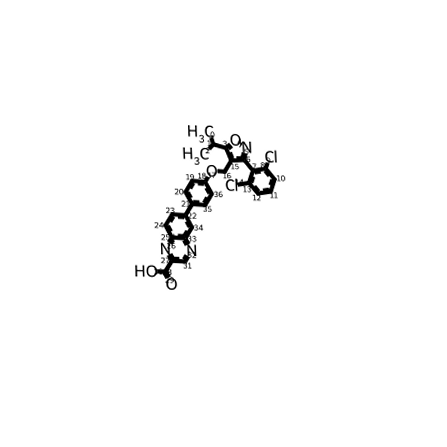 CC(C)c1onc(-c2c(Cl)cccc2Cl)c1COc1ccc(-c2ccc3nc(C(=O)O)cnc3c2)cc1